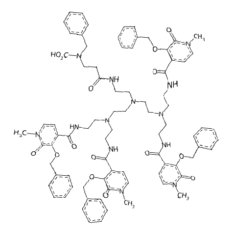 Cn1ccc(C(=O)NCCN(CCNC(=O)c2ccn(C)c(=O)c2OCc2ccccc2)CCN(CCNC(=O)CCN(Cc2ccccc2)C(=O)O)CCN(CCNC(=O)c2ccn(C)c(=O)c2OCc2ccccc2)CCNC(=O)c2ccn(C)c(=O)c2OCc2ccccc2)c(OCc2ccccc2)c1=O